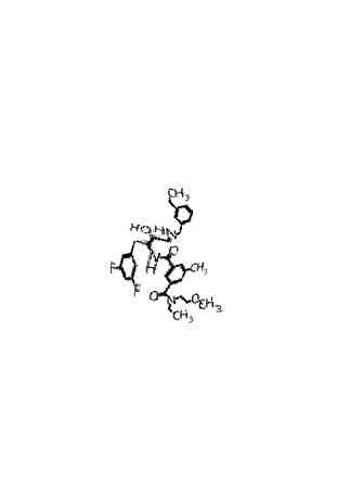 CCc1cccc(CNC[C@@H](O)[C@H](Cc2cc(F)cc(F)c2)NC(=O)c2cc(C)cc(C(=O)N(CC)CCOC)c2)c1